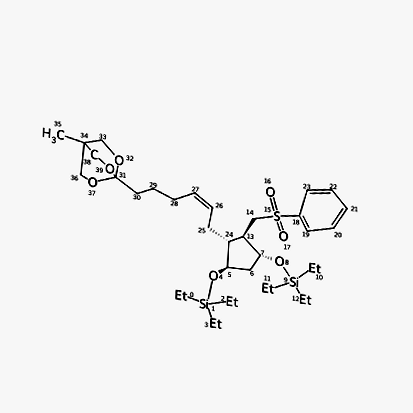 CC[Si](CC)(CC)O[C@@H]1C[C@@H](O[Si](CC)(CC)CC)[C@H](CS(=O)(=O)c2ccccc2)[C@H]1C/C=C\CCCC12OCC(C)(CO1)CO2